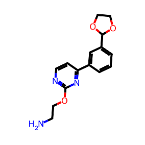 NCCOc1nccc(-c2cccc(C3OCCO3)c2)n1